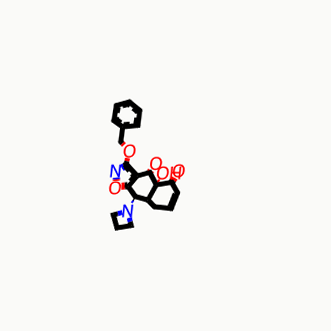 O=C1C=CCC2[C@H](N3CCC3)c3onc(OCc4ccccc4)c3C(=O)[C@@]12O